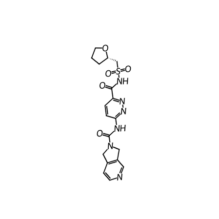 O=C(NS(=O)(=O)C[C@@H]1CCCO1)c1ccc(NC(=O)N2Cc3ccncc3C2)nn1